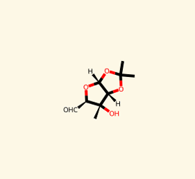 CC1(C)O[C@H]2O[C@H](C=O)[C@@](C)(O)[C@H]2O1